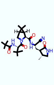 C[C@H]1CNC(=O)[C@@H]1C[C@@H](C#N)NC(=O)[C@@H]1[C@@H]2[C@H](CN1C(=O)[C@@H](NC(=O)C(C)(C)C)C(C)(C)C)C2(C)C